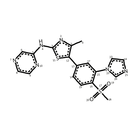 Cc1nc(Nc2cnccn2)sc1-c1ccc(S(C)(=O)=O)c(-n2ccnc2)c1